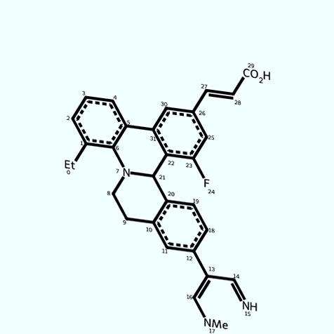 CCc1cccc2c1N1CCc3cc(/C(C=N)=C/NC)ccc3C1c1c(F)cc(/C=C/C(=O)O)cc1-2